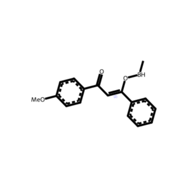 CBO/C(=C\C(=O)c1ccc(OC)cc1)c1ccccc1